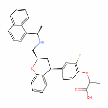 CC(Oc1ccc([C@@H]2C[C@H](CN[C@H](C)c3cccc4ccccc34)Oc3ccccc32)cc1F)C(=O)O